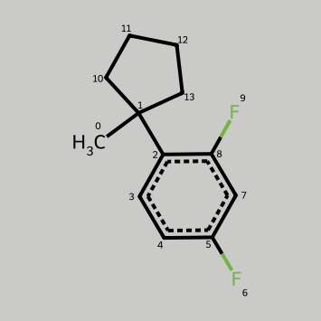 CC1(c2ccc(F)cc2F)CCCC1